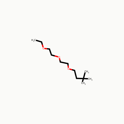 CCOCCOCCOCCC(C)(C)C